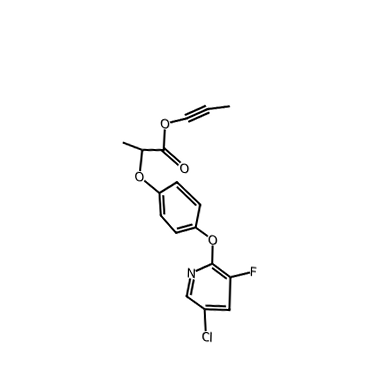 CC#COC(=O)C(C)Oc1ccc(Oc2ncc(Cl)cc2F)cc1